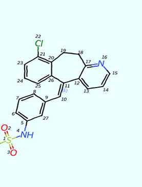 CS(=O)(=O)Nc1cccc(/C=C2/c3cccnc3CCc3c(Cl)cccc32)c1